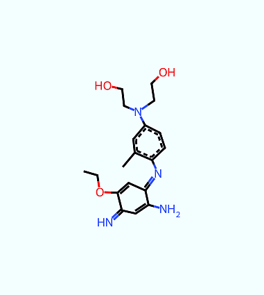 CCOC1=CC(=Nc2ccc(N(CCO)CCO)cc2C)C(N)=CC1=N